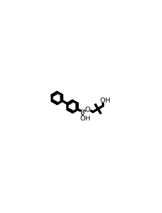 CC(C)(CO)COB(O)c1ccc(-c2ccccc2)cc1